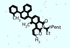 C=c1c(C2=CCC(C3C=CC=CC3C)c3ccccc32)ccc2c1=C(/C=C\C)C(=O)N(C(CC)CCCCC)C2=O